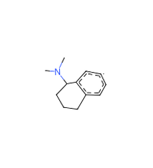 CN(C)C1CCCc2cc[c]cc21